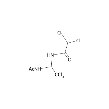 CC(=O)NC(NC(=O)C(Cl)Cl)C(Cl)(Cl)Cl